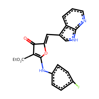 CCOC(=O)C1=C(Nc2ccc(F)cc2)O/C(=C\c2c[nH]c3ncccc23)C1=O